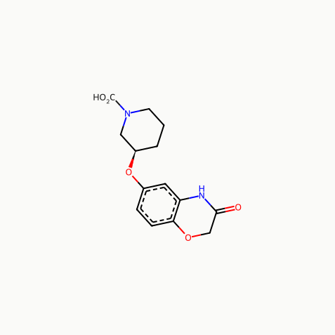 O=C1COc2ccc(O[C@@H]3CCCN(C(=O)O)C3)cc2N1